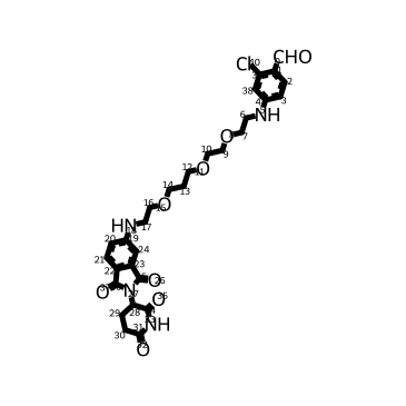 O=Cc1ccc(NCCOCCOCCCOCCNc2ccc3c(c2)C(=O)N(C2CCC(=O)NC2=O)C3=O)cc1Cl